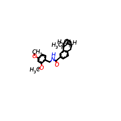 COc1ccc(CNC(=O)c2ccc3c(c2)[C@@]2(C)CCC[C@@H](C3)[C@H]2C)c(OC)c1